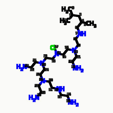 CC(C)CC(C)CNCCN(CCN)CCN(Cl)CCN(CCN)CCN(CCN)CCNCCN